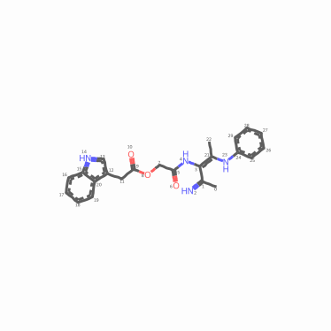 CC(=N)/C(NC(=O)COC(=O)Cc1c[nH]c2ccccc12)=C(/C)Nc1ccccc1